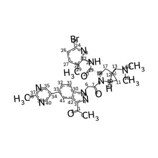 CC(=O)c1nn(CC(=O)N2[C@H]3C[C@@]3(CN(C)C)C[C@H]2C(=O)Nc2nc(Br)ccc2C)c2ccc(-c3cnc(C)nc3)cc12